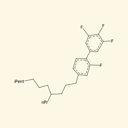 CCCC(C)CCCC(CCC)CCCc1ccc(-c2cc(F)c(F)c(F)c2)c(F)c1